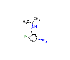 CC(C)NCc1cc(N)ccc1F